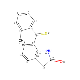 Cc1ccccc1C(=S)c1cccc2c1NC(=O)C2